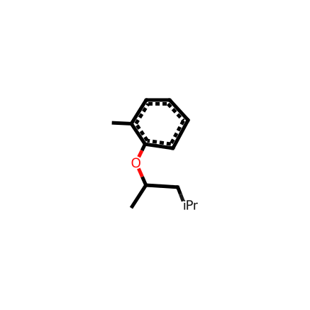 Cc1ccccc1OC(C)CC(C)C